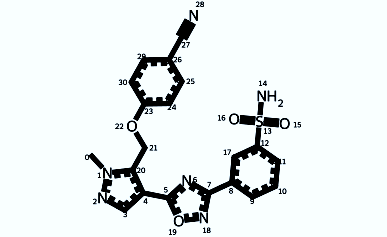 Cn1ncc(-c2nc(-c3cccc(S(N)(=O)=O)c3)no2)c1COc1ccc(C#N)cc1